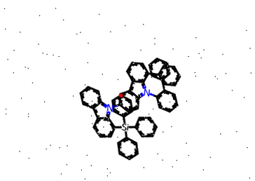 c1ccc(-c2ccccc2-n2c3ccc(-n4c5ccccc5c5cccc([Si](c6ccccc6)(c6ccccc6)c6ccccc6)c54)cc3c3cccc(-c4ccccc4)c32)cc1